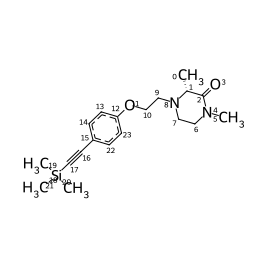 C[C@@H]1C(=O)N(C)CCN1CCOc1ccc(C#C[Si](C)(C)C)cc1